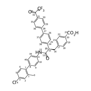 Cc1cc(Cl)ccc1-c1ccc(NC(=O)[C@H](Cc2ccc(C(=O)O)cc2)c2ccc(-c3ccc(C(=O)C(F)(F)F)cc3)cc2)cc1